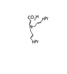 CCCC=CCN(C=CC(=O)O)CC=CCCC